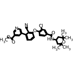 COC(=O)c1cncc(-c2cccc(Oc3ccc(C(=O)NC4CC(C)(C)OC(C)(C)C4)cc3Cl)c2C#N)c1